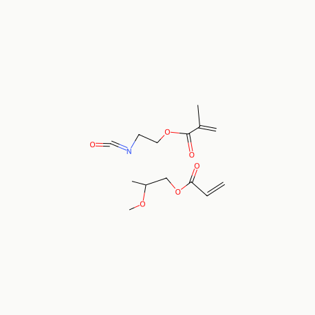 C=C(C)C(=O)OCCN=C=O.C=CC(=O)OCC(C)OC